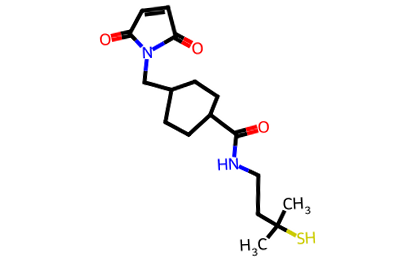 CC(C)(S)CCNC(=O)C1CCC(CN2C(=O)C=CC2=O)CC1